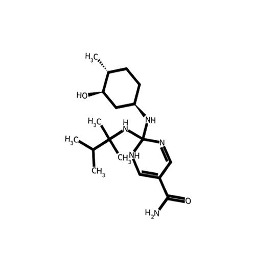 CC(C)C(C)(C)NC1(N[C@@H]2CC[C@@H](C)[C@H](O)C2)N=CC(C(N)=O)=CN1